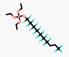 CCO[Si](OCC)(OCC)OC(F)(F)C(F)(F)C(F)(F)C(F)(F)C(F)(F)C(F)(F)C(F)(F)CCC(F)(F)F